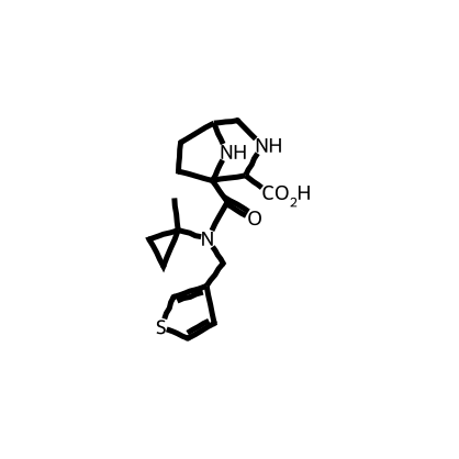 CC1(N(Cc2ccsc2)C(=O)C23CCC(CNC2C(=O)O)N3)CC1